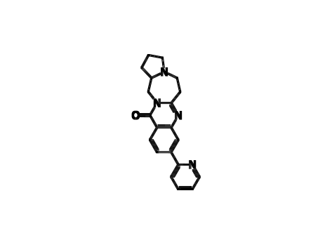 O=c1c2ccc(-c3ccccn3)cc2nc2n1CC1CCCN1CC2